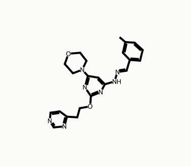 Cc1cccc(C=NNc2cc(N3CCOCC3)nc(OCCc3ccncn3)n2)c1